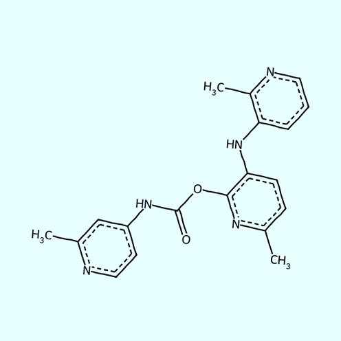 Cc1cc(NC(=O)Oc2nc(C)ccc2Nc2cccnc2C)ccn1